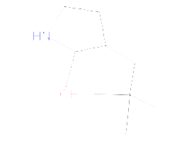 CC(C)(C)CC1CCNC1O